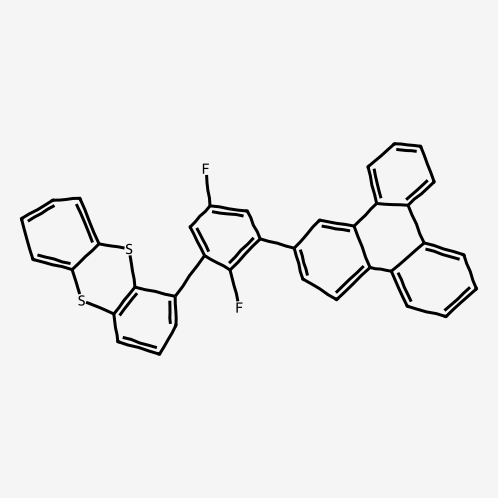 Fc1cc(-c2ccc3c4ccccc4c4ccccc4c3c2)c(F)c(-c2cccc3c2Sc2ccccc2S3)c1